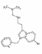 CN(C)SNCCc1cn(Cc2ccccn2)c2cc(Br)ccc12